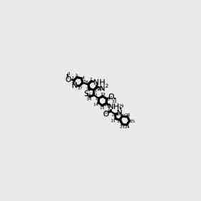 COc1ccc(-c2cnc(N)c3c(-c4ccc(NC(=O)c5cc6ccccc6n5C)c(OC)c4)csc23)cn1